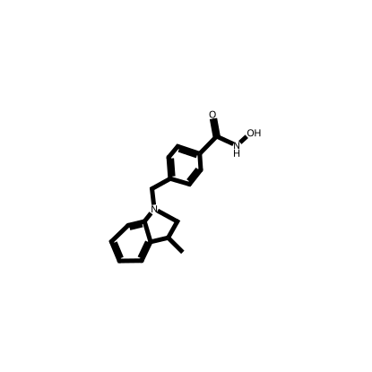 CC1CN(Cc2ccc(C(=O)NO)cc2)c2ccccc21